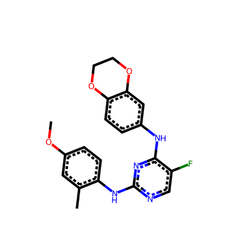 COc1ccc(Nc2ncc(F)c(Nc3ccc4c(c3)OCCO4)n2)c(C)c1